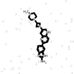 CN1CCN(C2CN(C3=Cc4nc(-c5ccc6nc(N)[nH]c6c5)ccc4NC3)C2)CC1